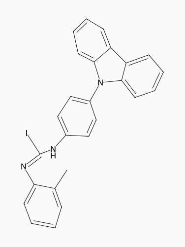 Cc1ccccc1/N=C(/I)Nc1ccc(-n2c3ccccc3c3ccccc32)cc1